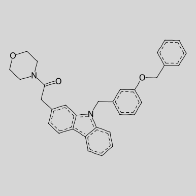 O=C(Cc1ccc2c3ccccc3n(Cc3cccc(OCc4ccccc4)c3)c2c1)N1CCOCC1